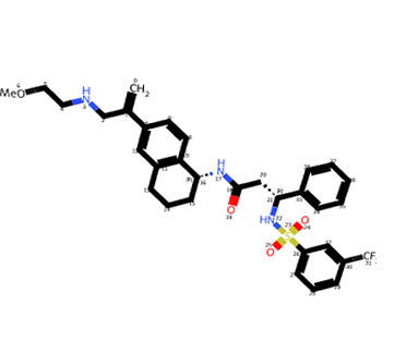 C=C(CNCCOC)c1ccc2c(c1)CCC[C@H]2NC(=O)C[C@@H](NS(=O)(=O)c1cccc(C(F)(F)F)c1)c1ccccc1